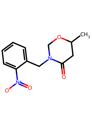 CC1CC(=O)N(Cc2ccccc2[N+](=O)[O-])CO1